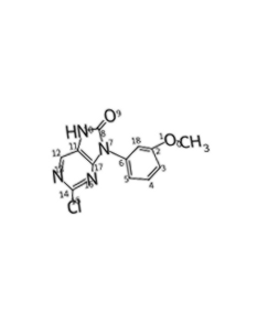 COc1cccc(-n2c(=O)[nH]c3cnc(Cl)nc32)c1